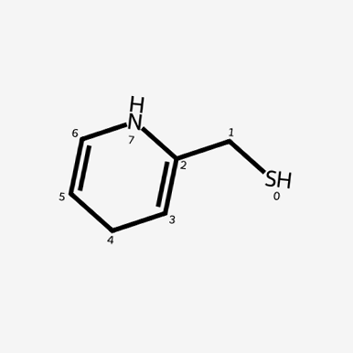 SCC1=CCC=CN1